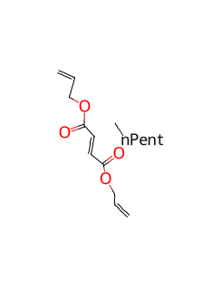 C=CCOC(=O)/C=C/C(=O)OCC=C.CCCCCC